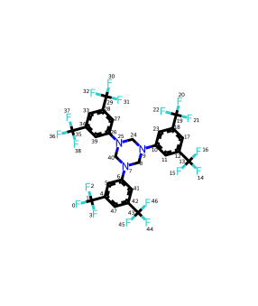 FC(F)(F)c1cc(N2CN(c3cc(C(F)(F)F)cc(C(F)(F)F)c3)CN(c3cc(C(F)(F)F)cc(C(F)(F)F)c3)C2)cc(C(F)(F)F)c1